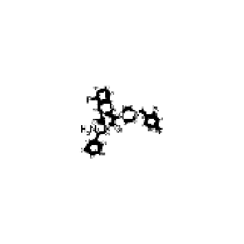 Cc1c(N2CCN(Cc3ccc(F)cc3F)CC2)c(=O)n(C[C@@H](N)c2ccccc2)c(=O)n1Cc1c(F)cccc1F